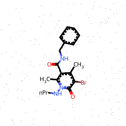 CCCNn1c(C)c(C(=O)NCc2ccccc2)c(C)c(Br)c1=O